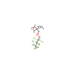 CC1(COCC(F)(F)C(F)(F)C(F)(F)F)COC1